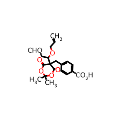 C=CCOC(CC=O)C1(Cc2ccc(C(=O)O)cc2)C(=O)OC(C)(C)OC1=O